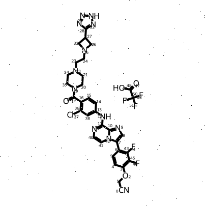 N#CCOc1ccc(-c2cnc3c(Nc4ccc(C(=O)N5CCN(CCN6CC(c7nn[nH]n7)C6)CC5)c(Cl)c4)nccn23)c(F)c1F.O=C(O)C(F)(F)F